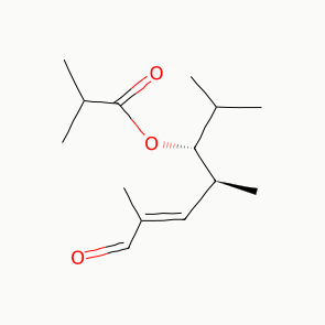 C/C(C=O)=C\[C@H](C)[C@H](OC(=O)C(C)C)C(C)C